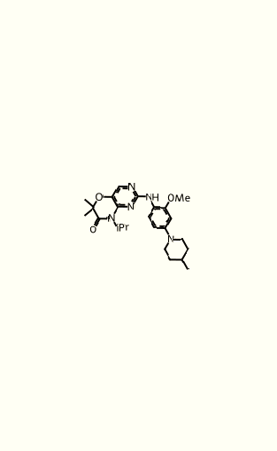 COc1cc(N2CCC(C)CC2)ccc1Nc1ncc2c(n1)N(C(C)C)C(=O)C(C)(C)O2